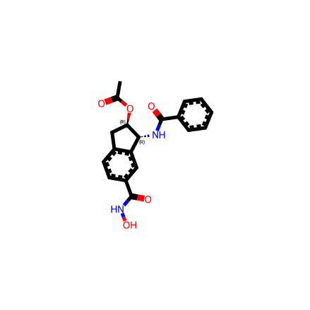 CC(=O)O[C@@H]1Cc2ccc(C(=O)NO)cc2[C@H]1NC(=O)c1ccccc1